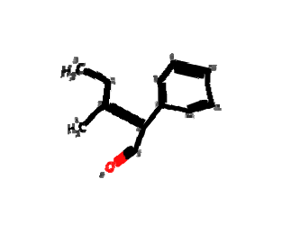 CCC(C)=C(C=O)c1ccccc1